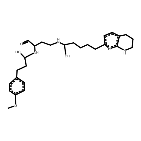 COc1ccc(CCC(O)NC(C=O)CCNC(O)CCCCc2ccc3c(n2)NCCC3)cc1